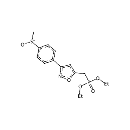 CCOP(=O)(Cc1cc(-c2ccc([S+](C)[O-])cc2)no1)OCC